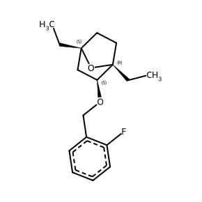 CC[C@@]12CC[C@@](CC)(O1)[C@@H](OCc1ccccc1F)C2